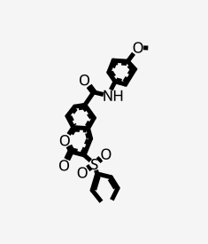 C/C=C\C(=C/C)S(=O)(=O)c1cc2cc(C(=O)Nc3ccc(OC)cc3)ccc2oc1=O